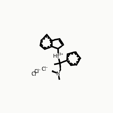 CN(C)C[C](C)([Hf+3][CH]1C=Cc2ccccc21)c1ccccc1.[Cl-].[Cl-].[Cl-]